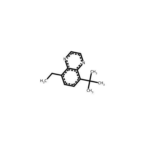 CCc1ccc(C(C)(C)C)c2nccnc12